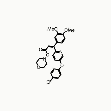 COc1ccc(C(=CC(=O)ON2CCOCC2)c2ccc(Oc3ccc(Cl)cc3)cn2)cc1OC